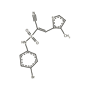 Cc1ccsc1C=C(C#N)S(=O)(=O)Nc1ccc(Br)cc1